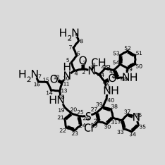 CN1C(=O)C(CCCCN)NC(=O)C(CCCN)NCc2ccccc2Sc2c(Cl)cc(-c3cccnc3)cc2CNC(=O)C1Cc1c[nH]c2ccccc12